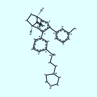 C=C1[C@H]2CC[C@@H]1n1c2nc(-c2cccc(C)n2)c1-c1ccnc(NCCN2CCOCC2)c1